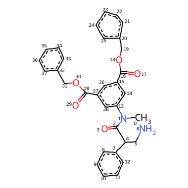 CN(C(=O)C(CN)c1ccccc1)c1cc(C(=O)OCc2ccccc2)cc(C(=O)OCc2ccccc2)c1